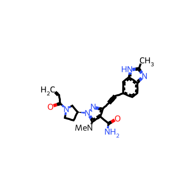 C=CC(=O)N1CC[C@H](n2nc(C#Cc3ccc4nc(C)[nH]c4c3)c(C(N)=O)c2NC)C1